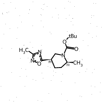 Cc1noc([C@@H]2CC[C@H](C)N(C(=O)OC(C)(C)C)C2)n1